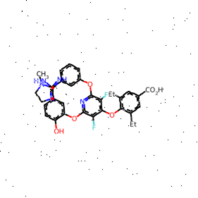 CCc1cc(C(=O)O)cc(CC)c1Oc1c(F)c(Oc2cccc(C3=NCCN3C)c2)nc(Oc2cc(C(=N)N)ccc2O)c1F